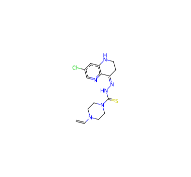 C=CN1CCN(C(=S)N/N=C2/CCNc3cc(Cl)cnc32)CC1